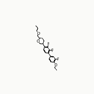 CCCOCC1CCC(c2ccc(-c3ccc(OCC)c(F)c3)c(F)c2F)CO1